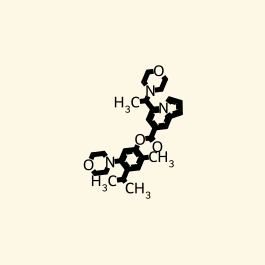 Cc1cc(C(C)C)c(N2CCOCC2)cc1OC(=O)c1cc(C(C)N2CCOCC2)n2cccc2c1